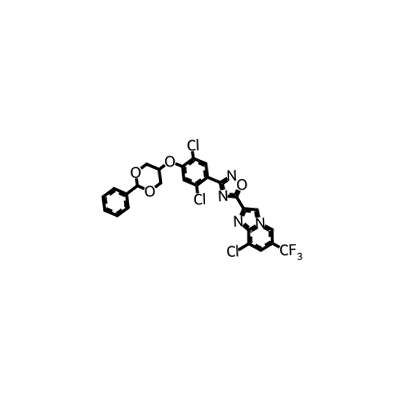 FC(F)(F)c1cc(Cl)c2nc(-c3nc(-c4cc(Cl)c(OC5COC(c6ccccc6)OC5)cc4Cl)no3)cn2c1